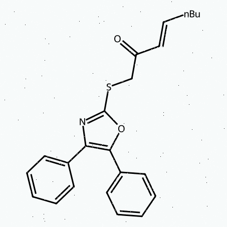 CCCC/C=C/C(=O)CSc1nc(-c2ccccc2)c(-c2ccccc2)o1